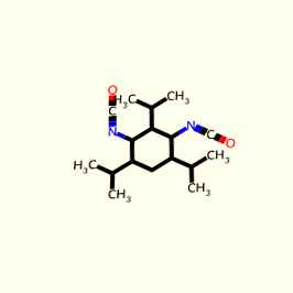 CC(C)C1CC(C(C)C)C(N=C=O)C(C(C)C)C1N=C=O